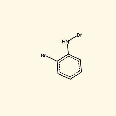 BrNc1ccccc1Br